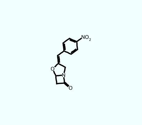 O=C1CC2OC(=Cc3ccc([N+](=O)[O-])cc3)CN12